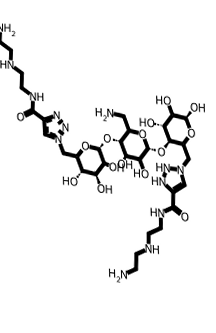 NCCNCCNC(=O)C1=CN(CC2O[C@H](O)C(O)[C@@H](O)[C@@H]2O[C@H]2OC(CN)[C@@H](O[C@H]3OC(Cn4cc(C(=O)NCCNCCN)nn4)[C@@H](O)[C@H](O)C3O)[C@H](O)C2O)NN1